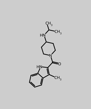 Cc1c(C(=O)N2CCC(NC(C)C)CC2)[nH]c2ccccc12